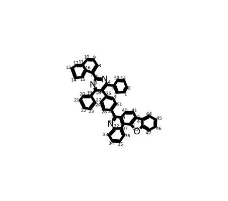 c1ccc(-c2nc(-c3cccc4ccccc34)nc(-c3ccccc3)c2-c2ccc(-c3nc4ccccc4c4c3ccc3c5ccccc5oc34)cc2)cc1